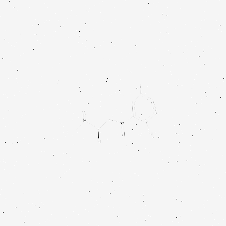 Cc1ccc(N)c(C(=O)C[C@@H](N)C(=O)O)c1